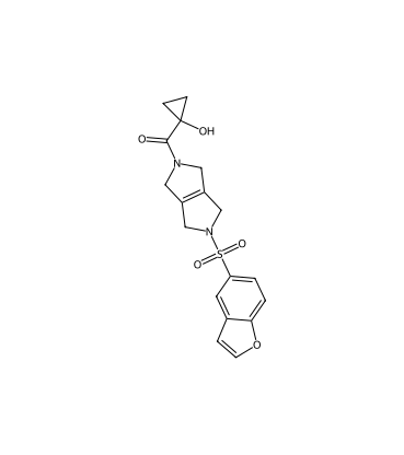 O=C(N1CC2=C(C1)CN(S(=O)(=O)c1ccc3occc3c1)C2)C1(O)CC1